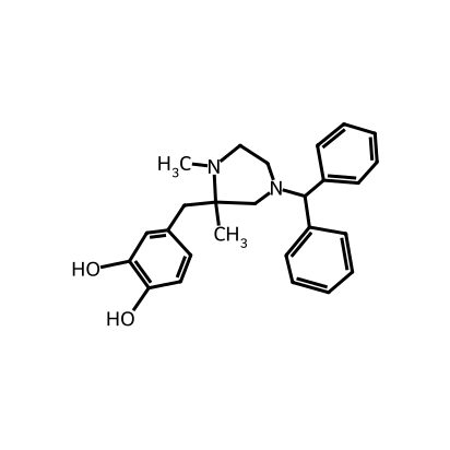 CN1CCN(C(c2ccccc2)c2ccccc2)CC1(C)Cc1ccc(O)c(O)c1